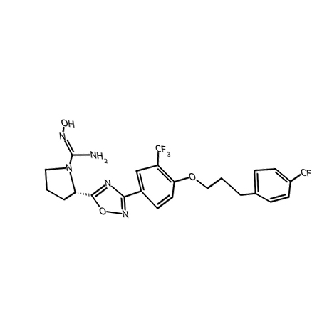 N/C(=N\O)N1CCC[C@H]1c1nc(-c2ccc(OCCCc3ccc(C(F)(F)F)cc3)c(C(F)(F)F)c2)no1